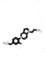 CCCN1CCC2CN(c3ccc(CC)cc3F)CCC21